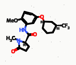 COc1ccc(O[C@@H]2CCC[C@H](C(F)(F)F)C2)cc1NC(=O)[C@H]1CCC(=O)N1C